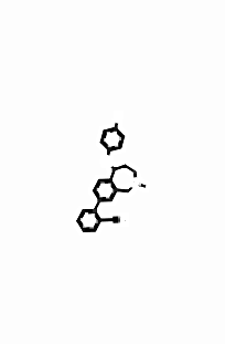 CN1CCC(Oc2ccc(F)cc2)c2ccc(-c3ccccc3C#N)cc2C1